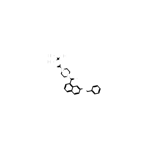 CC(C)(C)OC(=O)N1CCN(C(=O)c2cccc3ccc(OCc4ccccc4)cc23)CC1